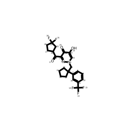 O=C(c1nn(CC2(c3cccc(C(F)(F)F)c3)CCCC2)cc(O)c1=O)C1CCC(F)(F)C1